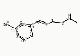 CNCC/C=C/c1cncc(Br)c1